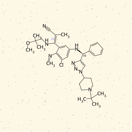 C=Nc1c(Cl)cc(N[C@@H](c2ccccc2)c2cn(C3CCN(C(C)(C)C)CC3)nn2)cc1/C(NCC(C)(C)OC)=C(\C)C#N